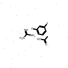 CC(=O)O.Fc1cccc(F)c1.N=C(N)N